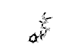 CO[SiH](C)O[SiH](C)O[SiH](C)O[Si](C)(C)c1ccccc1